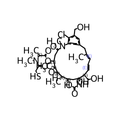 C/C1=C\C=C\[C@@H](CO)[C@@]2(O)C[C@H](OC(=O)N2)[C@@H](C)[C@@H]2O[C@@]2(C)[C@@H](OC(=O)[C@H](C)N(C)C(=O)CS)CC(=O)N(C)c2cc(cc(CO)c2Cl)C1